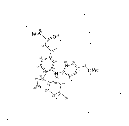 COCc1ccc(Nc2cc(C(C)CC(=O)OC)ccc2N(CC(C)C)C2CCC(C)CC2)nc1